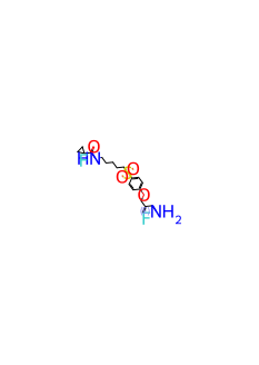 NC/C(=C\F)COc1ccc(S(=O)(=O)CCCCCNC(=O)C2(F)CC2)cc1